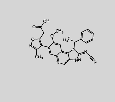 COc1cc2c(cc1-c1c(C)noc1CC(=O)O)ncc1[nH]/c(=N\C#N)n([C@H](C)c3ccccc3)c12